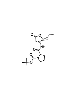 CCO[C@@H]1OC(=O)C=C1NC(=O)C1CCCN1C(=O)OC(C)(C)C